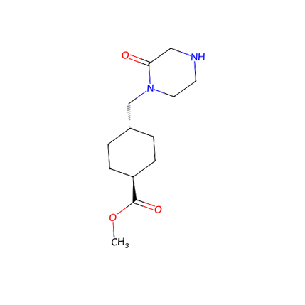 COC(=O)[C@H]1CC[C@H](CN2CCNCC2=O)CC1